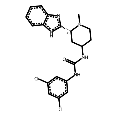 CN1CCC(NC(=O)Nc2cc(Cl)cc(Cl)c2)C[C@@H]1c1nc2ccccc2[nH]1